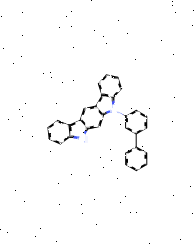 c1ccc(-c2cccc(-n3c4ccccc4c4cc5c(cc43)[nH]c3ccccc35)c2)cc1